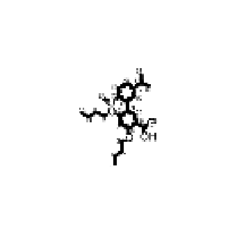 CCCCOc1cc(OCCCC)c(-c2cc(C(C)C)ccc2OC)cc1C(=O)O